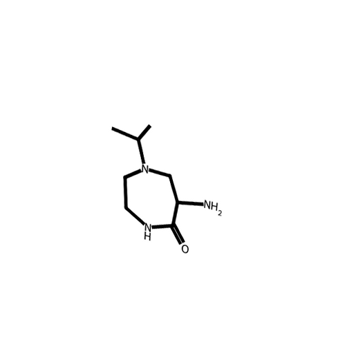 CC(C)N1CCNC(=O)C(N)C1